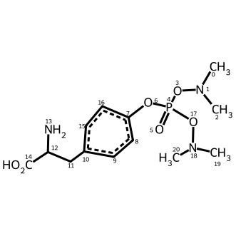 CN(C)OP(=O)(Oc1ccc(CC(N)C(=O)O)cc1)ON(C)C